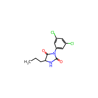 CCCC1NC(=O)N(c2cc(Cl)cc(Cl)c2)C1=O